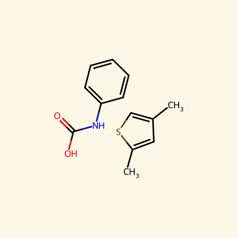 Cc1csc(C)c1.O=C(O)Nc1ccccc1